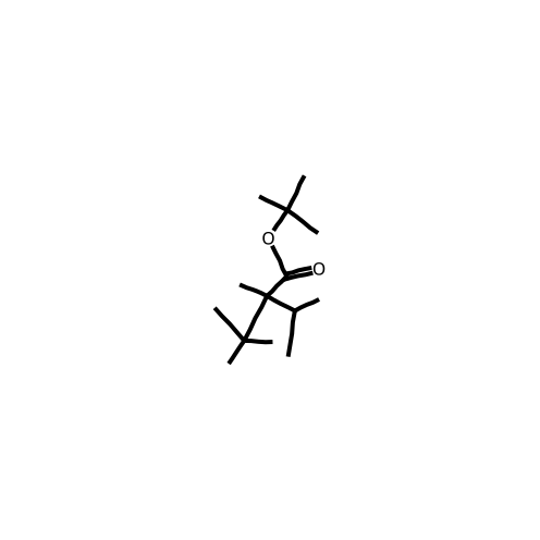 CC(C)C(C)(C(=O)OC(C)(C)C)C(C)(C)C